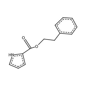 O=C(OCCc1ccccc1)c1ccc[nH]1